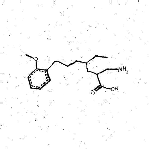 CCC(CCCc1ccccc1OC)CC(CN)C(=O)O